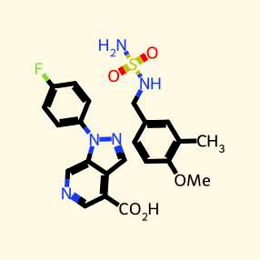 COc1ccc(CNS(N)(=O)=O)cc1C.O=C(O)c1cncc2c1cnn2-c1ccc(F)cc1